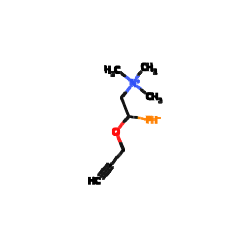 C#CCOC([PH-])C[N+](C)(C)C